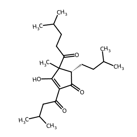 CC(C)CCC(=O)C1(C)C(O)=C(C(=O)CC(C)C)C(=O)[C@H]1CCC(C)C